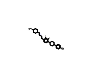 CCCC1CCC(/C=C/CCc2ccc(C3CCC(c4ccc(CC)cc4)CC3)c(F)c2F)CC1